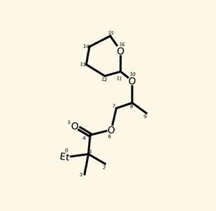 CCC(C)(C)C(=O)OCC(C)OC1CCCCO1